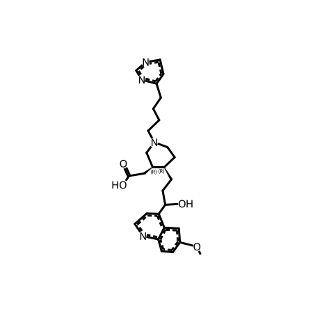 COc1ccc2nccc(C(O)CC[C@@H]3CCN(CCCCc4ccncn4)C[C@@H]3CC(=O)O)c2c1